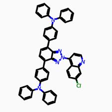 Clc1ccc2c(-n3nc4c(-c5ccc(N(c6ccccc6)c6ccccc6)cc5)ccc(-c5ccc(N(c6ccccc6)c6ccccc6)cc5)c4n3)ccnc2c1